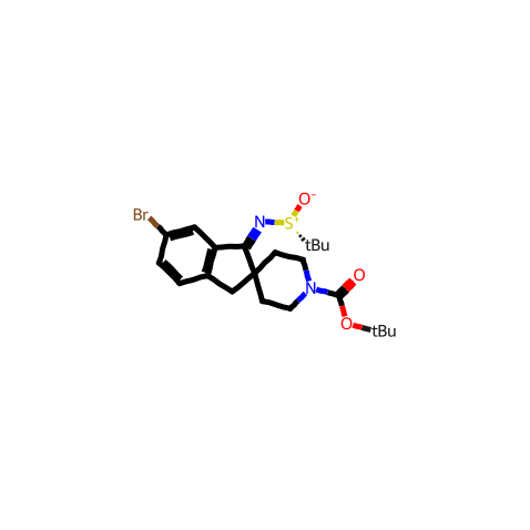 CC(C)(C)OC(=O)N1CCC2(CC1)Cc1ccc(Br)cc1/C2=N/[S@+]([O-])C(C)(C)C